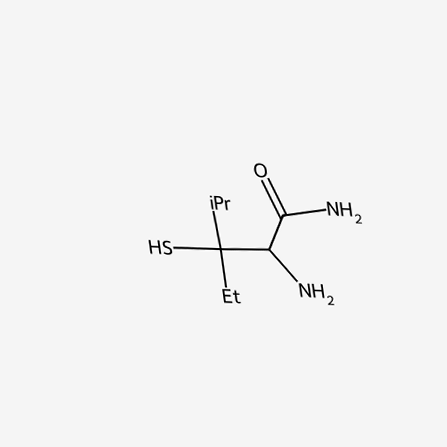 CCC(S)(C(C)C)C(N)C(N)=O